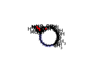 C[C@H]1C[C@H](O)[C@@H](C)/C=C/C=C/C=C/C=C/C=C/C=C/C=C/C(O[C@@H]2OC[C@@H](O)[C@H](N)[C@H]2O)C[C@@H]2OC(O)(CC(O)CC(O)C(O)CCC(O)CC(O)CC(=O)O1)C[C@H](O)C2C(=O)NCCC#N